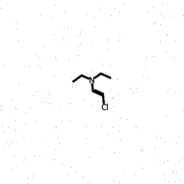 CCN(C=CCl)CC